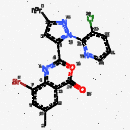 CCCc1cc(-c2nc3c(Br)cc(C)cc3c(=O)o2)n(-c2ncccc2Cl)n1